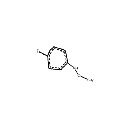 OONc1ccc(F)cc1